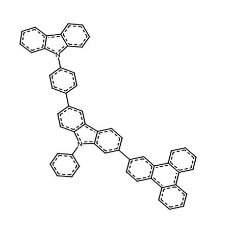 c1ccc(-n2c3ccc(-c4ccc(-n5c6ccccc6c6ccccc65)cc4)cc3c3ccc(-c4ccc5c6ccccc6c6ccccc6c5c4)cc32)cc1